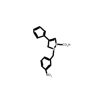 O=C(O)N1C=C(c2ccccc2)CN1Cc1cccc([N+](=O)[O-])c1